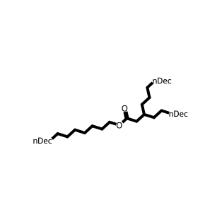 CCCCCCCCCCCCCCCCCOC(=O)CC(CCCCCCCCCCCC)CCCCCCCCCCCCC